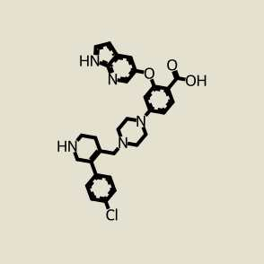 O=C(O)c1ccc(N2CCN(CC3=C(c4ccc(Cl)cc4)CNCC3)CC2)cc1Oc1cnc2[nH]ccc2c1